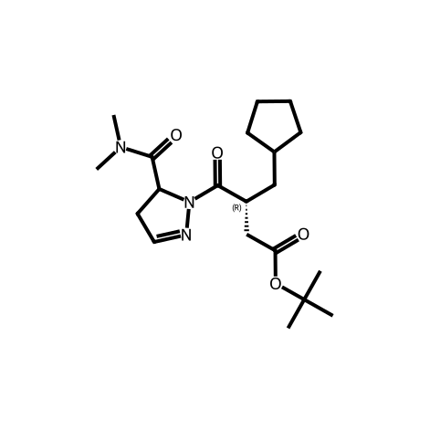 CN(C)C(=O)C1CC=NN1C(=O)[C@@H](CC(=O)OC(C)(C)C)CC1CCCC1